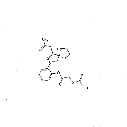 CC(=O)CC(=S)C1(COc2ccccc2OC(=O)CSC(C)=O)NCCS1